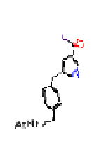 CC(=O)NCc1ccc(Cc2cncc(C(=O)I)c2)cc1